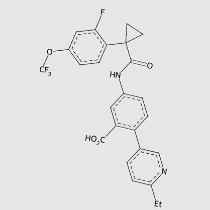 CCc1ccc(-c2ccc(NC(=O)C3(c4ccc(OC(F)(F)F)cc4F)CC3)cc2C(=O)O)cn1